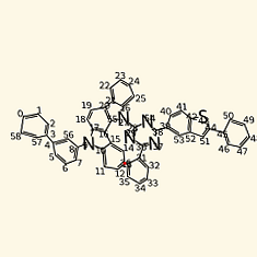 c1ccc(-c2cccc(-n3c4ccccc4c4c3ccc3c5ccccc5n(-c5nc(-c6ccccc6)nc(-c6ccc7sc(-c8ccccc8)cc7c6)n5)c34)c2)cc1